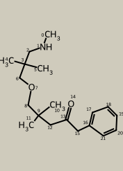 CNCC(C)(C)COCC(C)(C)CC(=O)Cc1ccccc1